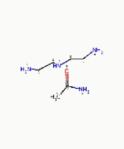 CC(N)=O.NCCNCCN